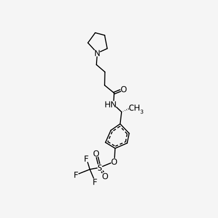 C[C@@H](NC(=O)CCCN1CCCC1)c1ccc(OS(=O)(=O)C(F)(F)F)cc1